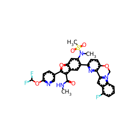 CNC(=O)c1c(-c2ccc(OC(F)F)nc2)oc2cc(N(C)S(C)(=O)=O)c(-c3ccc4c(n3)-c3cc5c(F)cccc5n3CO4)cc12